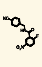 N#Cc1ccc(CNC(=O)c2cc([N+](=O)[O-])ccc2F)cc1